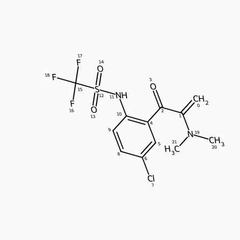 C=C(C(=O)c1cc(Cl)ccc1NS(=O)(=O)C(F)(F)F)N(C)C